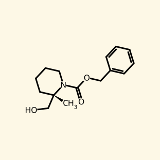 C[C@@]1(CO)CCCCN1C(=O)OCc1ccccc1